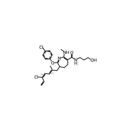 C=C/C(Cl)=C\C=C(/C)CC1CCC(C(=O)NCCCO)=C(NC)N=C1Oc1ccc(Cl)cc1